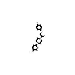 O=C(COc1ccc(F)cc1)N1CCN(c2ccc(O)cn2)CC1